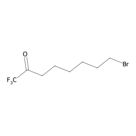 O=C(CCCCCCBr)C(F)(F)F